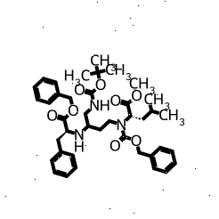 COC(=O)[C@H](CC(C)C)N(CCC(CNC(=O)OC(C)(C)C)N[C@@H](Cc1ccccc1)C(=O)OCc1ccccc1)C(=O)OCc1ccccc1